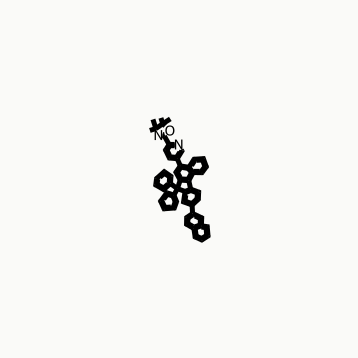 CC1(C)N=C(c2ccc(-c3cc4c(c5ccccc35)-c3ccc(-c5ccc6ccccc6c5)cc3C4(c3ccccc3)c3ccccc3)cn2)OC1(C)C